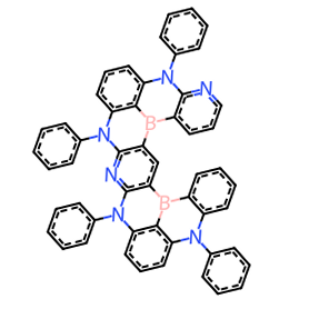 c1ccc(N2c3ccccc3B3c4cc5c(nc4N(c4ccccc4)c4cccc2c43)N(c2ccccc2)c2cccc3c2B5c2cccnc2N3c2ccccc2)cc1